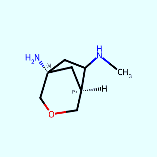 CNC1C[C@]2(N)COC[C@H]1C2